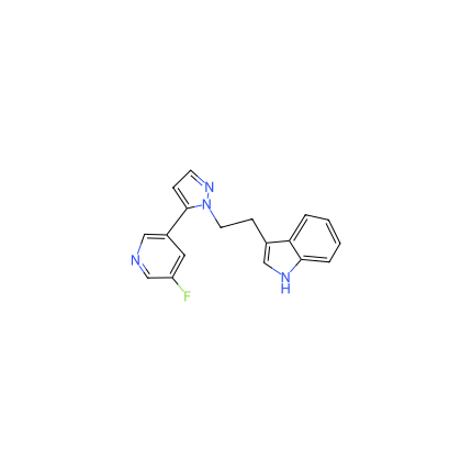 Fc1cncc(-c2ccnn2CCc2c[nH]c3ccccc23)c1